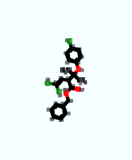 CC(C)(Oc1ccc(Cl)cc1)C(C=C(Cl)Cl)C(=O)OCc1ccccc1